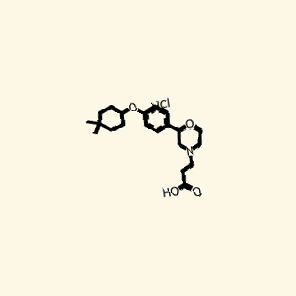 CC1(C)CCC(Oc2ccc(C3CN(CCC(=O)O)CCO3)cc2)CC1.Cl